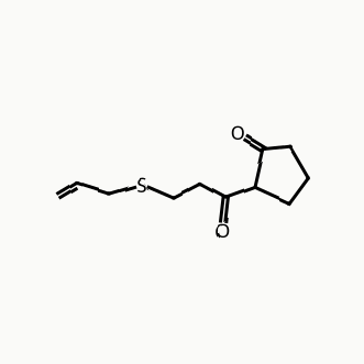 C=CCSCCC(=O)C1CCCC1=O